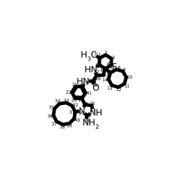 CC1CCC(F)C2(C3CCCCCCC3)CC(C(=O)Nc3cccc(C4CNC(N)N4C4CCCCCCCCC4)c3)NC12